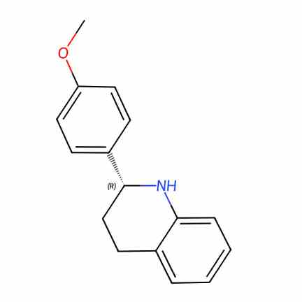 COc1ccc([C@H]2CCc3ccccc3N2)cc1